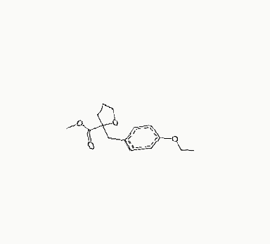 CCOc1ccc(CC2(C(=O)OC)CCCO2)cc1